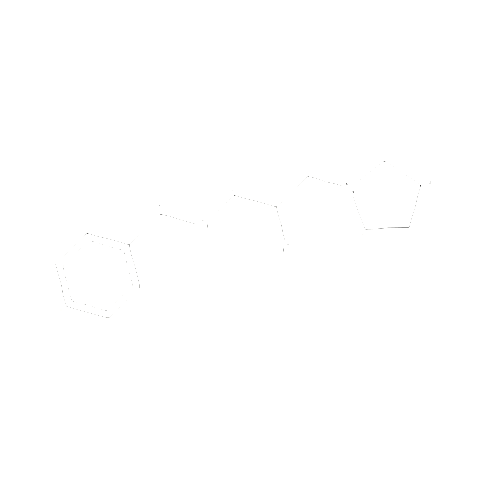 ClC(COCc1ccccc1)CN1CCCC1